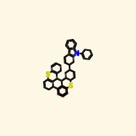 C1=CCCC(C2CC=CC3=C2C(C2c4ccccc4SC4C=CC(C5C=Cc6c(n(C7=CC=CCC7)c7ccccc67)C5)CC42)C2=C(C=CCC2)S3)=C1